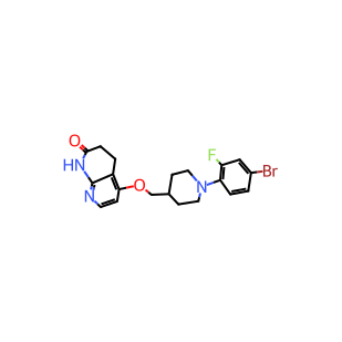 O=C1CCc2c(OCC3CCN(c4ccc(Br)cc4F)CC3)ccnc2N1